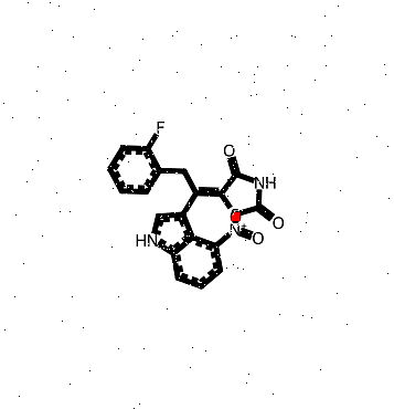 O=C1NC(=O)C(=C(Cc2ccccc2F)c2c[nH]c3cccc([N+](=O)[O-])c23)S1